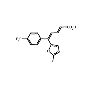 Cc1ccc(/C(=C\C=C\C(=O)O)c2ccc(C(F)(F)F)cc2)o1